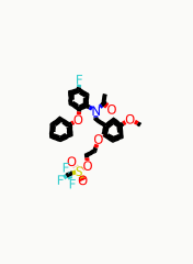 COc1ccc(OCCOS(=O)(=O)C(F)(F)F)c(CN(C(C)=O)c2cc(F)ccc2Oc2ccccc2)c1